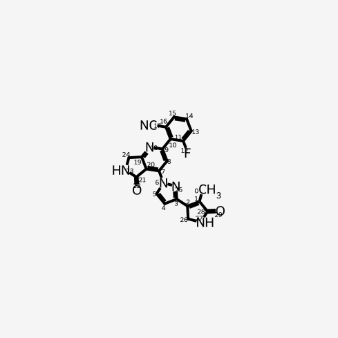 CC1=C(c2ccn(-c3cc(-c4c(F)cccc4C#N)nc4c3C(=O)NC4)n2)CNC1=O